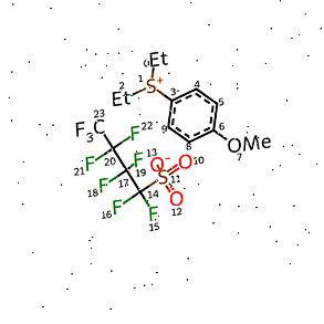 CC[S+](CC)c1ccc(OC)cc1.O=S(=O)([O-])C(F)(F)C(F)(F)C(F)(F)C(F)(F)F